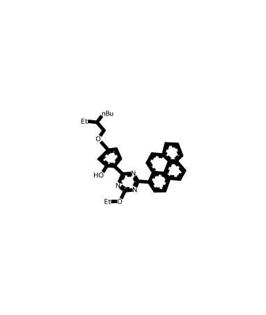 CCCCC(CC)COc1ccc(-c2nc(OCC)nc(-c3ccc4ccc5cccc6ccc3c4c56)n2)c(O)c1